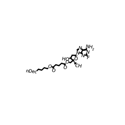 C#C[C@]1(COC(=O)CCCC(=O)OCCCCCCCCCCCCCC)O[C@@H](n2cnc3c(N)nc(F)nc32)C[C@@H]1O